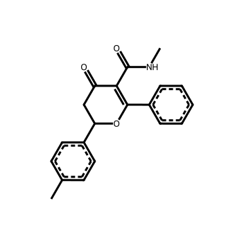 CNC(=O)C1=C(c2ccccc2)OC(c2ccc(C)cc2)CC1=O